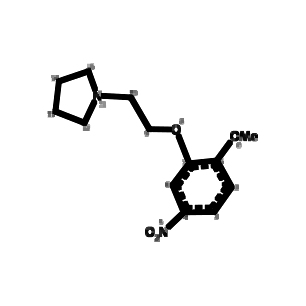 COc1ccc([N+](=O)[O-])cc1OCCN1CCCC1